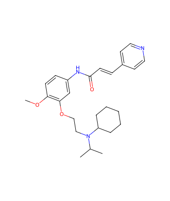 COc1ccc(NC(=O)C=Cc2ccncc2)cc1OCCN(C(C)C)C1CCCCC1